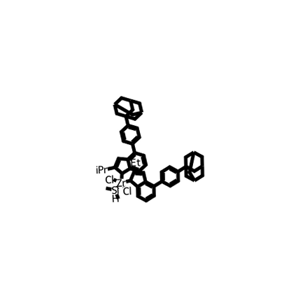 CCC1=Cc2c(-c3ccc(C45CC6CC(CC(C6)C4)C5)cc3)cccc2[CH]1[Zr]([Cl])([Cl])([CH]1C(C(C)C)=Cc2c(-c3ccc(C45CC6CC(CC(C6)C4)C5)cc3)cccc21)[SiH](C)C